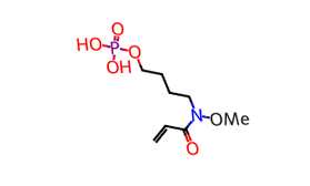 C=CC(=O)N(CCCCOP(=O)(O)O)OC